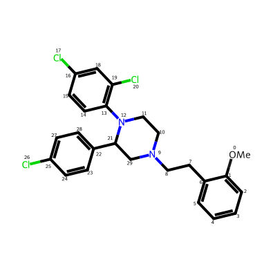 COc1ccccc1CCN1CCN(c2ccc(Cl)cc2Cl)C(c2ccc(Cl)cc2)C1